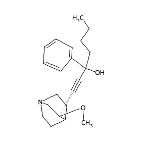 CCCCC(O)(C#C[C@@]1(OC)CN2CCC1CC2)c1ccccc1